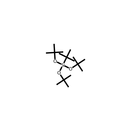 CC(C)(C)O[Si](OC(C)(C)C)(OC(C)(C)C)C(C)(C)C